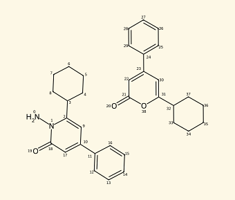 Nn1c(C2CCCCC2)cc(-c2ccccc2)cc1=O.O=c1cc(-c2ccccc2)cc(C2CCCCC2)o1